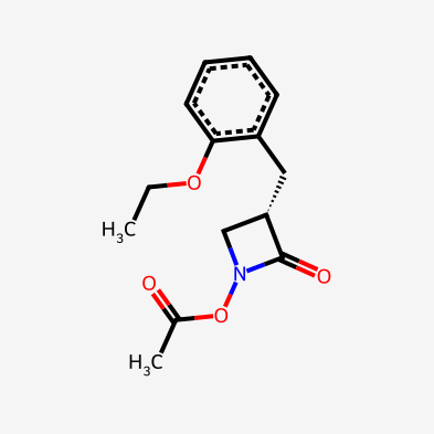 CCOc1ccccc1C[C@H]1CN(OC(C)=O)C1=O